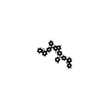 c1ccc(N(c2ccc(-c3cccc4c3oc3ccccc34)cc2)c2ccc3c(c2)Oc2cc(N(c4ccccc4)c4ccc(-c5cccc6c5oc5ccccc56)cc4)cc4cccc-3c24)cc1